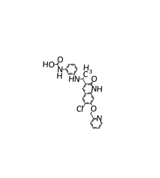 CC(Nc1cccc(NC(=O)O)c1)c1cc2cc(Cl)c(OCc3ccccn3)cc2[nH]c1=O